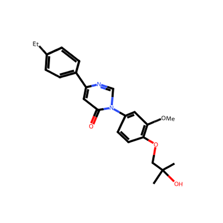 CCc1ccc(-c2cc(=O)n(-c3ccc(OCC(C)(C)O)c(OC)c3)cn2)cc1